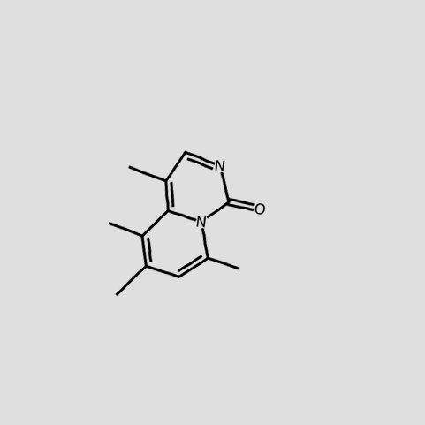 Cc1cc(C)n2c(=O)ncc(C)c2c1C